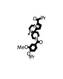 COc1cc(C(=O)N2CCC3(CC2)c2ccc(C(=O)C(C)C)n2CCN3C)ccc1OC(C)C